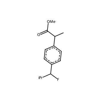 COC(=O)C(C)c1ccc(C(F)C(C)C)cc1